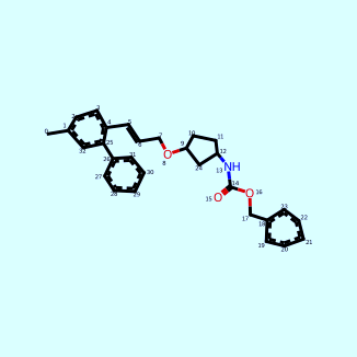 Cc1ccc(C=CCOC2CCC(NC(=O)OCc3ccccc3)C2)c(-c2ccccc2)c1